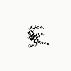 CCOC(=O)C12C[C@H](CC(C)CCOC(C)=O)CN(CCc3c1[nH]c1cc(OC)c(OC)cc31)C2C